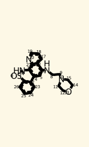 [O-][S+]1Nc2c(cc(NCCN3CCOCC3)c3cccnc23)-c2ccccc21